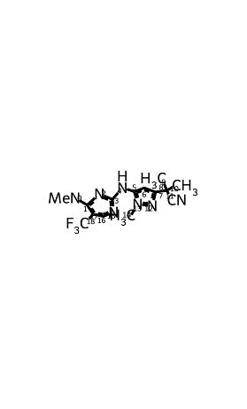 CNc1nc(Nc2cc(C(C)(C)C#N)nn2C)ncc1C(F)(F)F